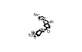 CCS(=O)(=O)c1ccc(CNC(=O)c2ccc3c(c2)CN(c2ncc(C#N)cn2)C[C@H]3C(C)C)cc1